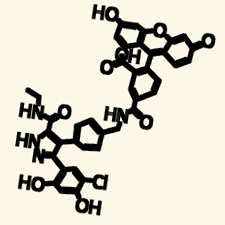 CCNC(=O)c1[nH]nc(-c2cc(Cl)c(O)cc2O)c1-c1ccc(CNC(=O)c2ccc(-c3c4ccc(=O)cc-4oc4cc(O)ccc34)c(C(=O)O)c2)cc1